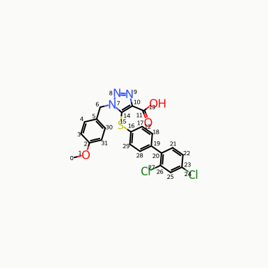 COc1ccc(Cn2nnc(C(=O)O)c2Sc2ccc(-c3ccc(Cl)cc3Cl)cc2)cc1